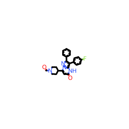 O=CN1CCC(c2cc(=O)[nH]c3c(-c4ccc(F)cc4)c(-c4ccccc4)nn23)CC1